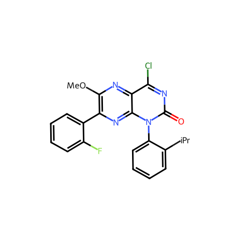 COc1nc2c(Cl)nc(=O)n(-c3ccccc3C(C)C)c2nc1-c1ccccc1F